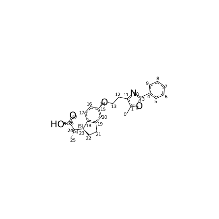 Cc1oc(-c2ccccc2)nc1CCOc1ccc2c(c1)CC[C@H]2[C@H](C)C(=O)O